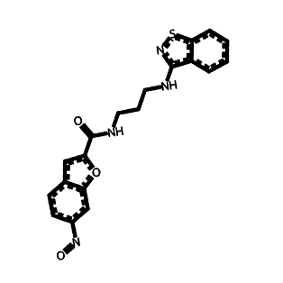 O=Nc1ccc2cc(C(=O)NCCCNc3nsc4ccccc34)oc2c1